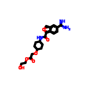 N=C(N)c1ccc2c(C(=O)NC3CCC(OCC(=O)OCCO)CC3)occ2c1